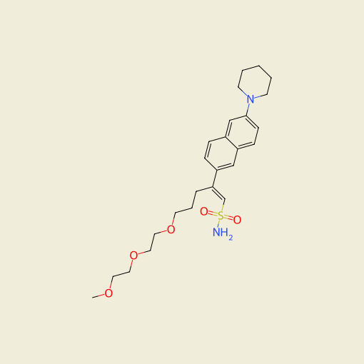 COCCOCCOCCCC(=CS(N)(=O)=O)c1ccc2cc(N3CCCCC3)ccc2c1